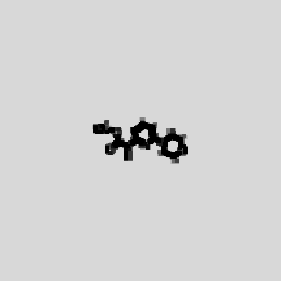 CC(C)(C)OC(=O)Nc1cccc(N2CCOCC2)n1